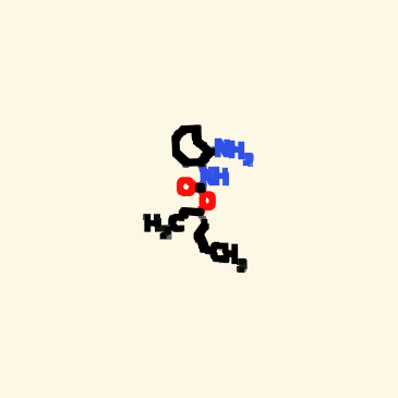 C=C[C@@H](C/C=C\C)OC(=O)NC1CCCC/C=C/C1N